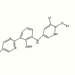 CCON1NC=C(Nc2cccc(-c3ncc(C)cn3)c2OC)C=C1Cl